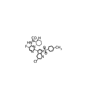 Cc1ccc(S(=O)(=O)n2cc(-c3ncc(F)c(NN(C(=O)O)C4CCCCC4)n3)c3cc(Cl)cnc32)cc1